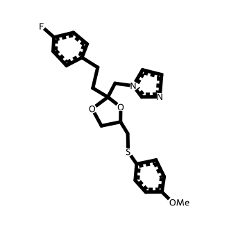 COc1ccc(SCC2COC(CCc3ccc(F)cc3)(Cn3ccnc3)O2)cc1